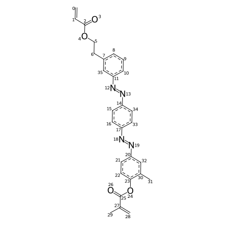 C=CC(=O)OCCc1cccc(/N=N/c2ccc(/N=N/c3ccc(OC(=O)C(=C)C)c(C)c3)cc2)c1